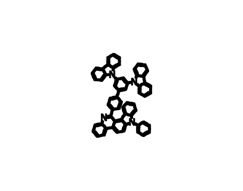 c1ccc(-n2c3ccccc3c3c4c(-c5ccc(-c6cc(-n7c8ccccc8c8ccccc87)cc(-n7c8ccccc8c8ccccc87)c6)cc5)nc5ccccc5c4ccc32)cc1